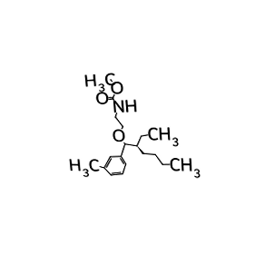 CCCC[C@H](CC)[C@@H](OCCNC(=O)OC)c1cccc(C)c1